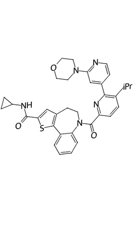 CC(C)c1ccc(C(=O)N2CCc3cc(C(=O)NC4CC4)sc3-c3ccccc32)nc1-c1ccnc(N2CCOCC2)c1